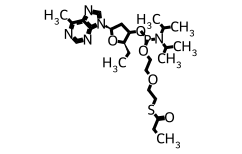 CCC(=O)SCCOCCOP(OC1C[C@H](n2cnc3c(C)ncnc32)O[C@@H]1CC)N(C(C)C)C(C)C